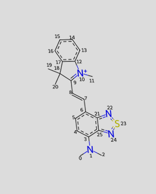 CN(C)c1ccc(/C=C/C2=[N+](C)c3ccccc3C2(C)C)c2nsnc12